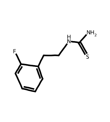 NC(=S)NCCc1ccccc1F